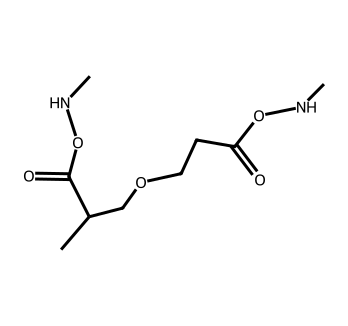 CNOC(=O)CCOCC(C)C(=O)ONC